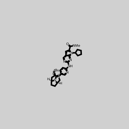 CNC(=O)c1cc2cnc(Nc3ccc(N4C[C@H]5CC[C@@H](CC4=O)N5C(=O)OC(C)(C)C)cn3)nc2n1C1CCCC1